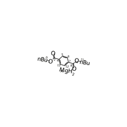 CCCCOC(=O)c1ccc(C(=O)OCCCC)cc1.[MgH2]